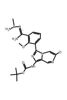 COc1c(/C(N)=N/N(C)N)cccc1-c1nc(NC(=O)OC(C)(C)C)c2cnc(Cl)cn12